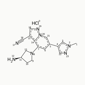 Cl.Cn1cc(-c2cc(N3CC[C@@H](N)C3)c3c(C#N)cnn3c2)cn1